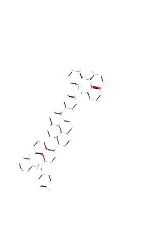 c1ccc(-c2ccccc2N(c2ccccc2)c2ccc(-c3ccc4ccc5c(-c6ccc(N(c7ccccc7)c7ccccc7-c7ccccc7)cc6)ccc6ccc3c4c65)cc2)cc1